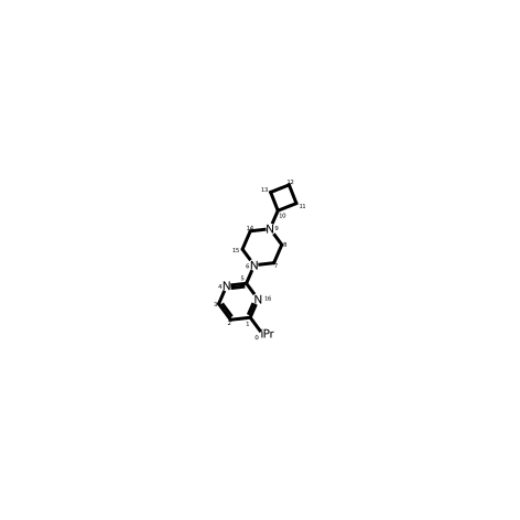 CC(C)c1ccnc(N2CCN(C3CCC3)CC2)n1